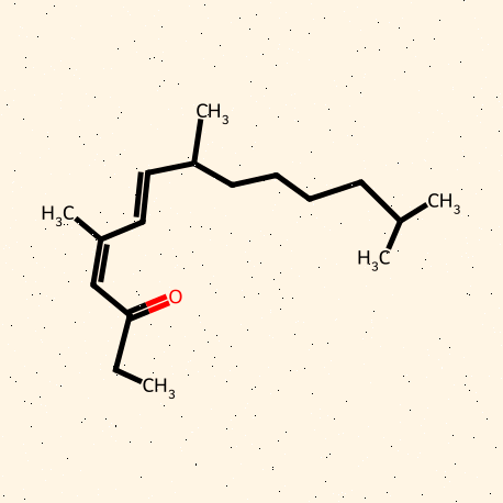 CCC(=O)C=C(C)C=CC(C)CCCCC(C)C